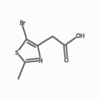 Cc1nc(CC(=O)O)c(Br)s1